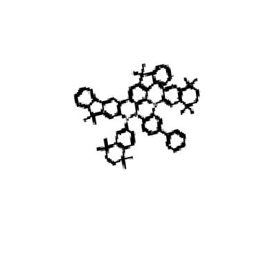 Cc1cc2c(cc1N1c3cc(-c4ccccc4)ccc3B3c4c(cc5c(c41)-c1ccccc1C5(C)C)-c1cc4c(cc1N3c1ccc3c(c1)C(C)(C)CCC3(C)C)C(C)(C)c1ccccc1-4)C(C)(C)CCC2(C)C